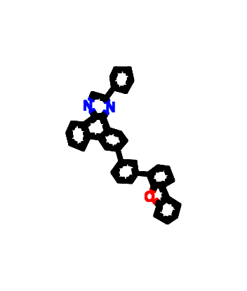 c1ccc(-c2cnc3c4ccccc4c4cc(-c5cccc(-c6cccc7c6oc6ccccc67)c5)ccc4c3n2)cc1